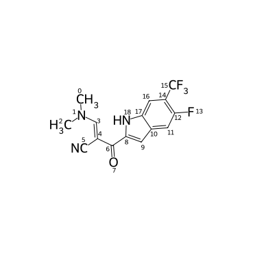 CN(C)C=C(C#N)C(=O)c1cc2cc(F)c(C(F)(F)F)cc2[nH]1